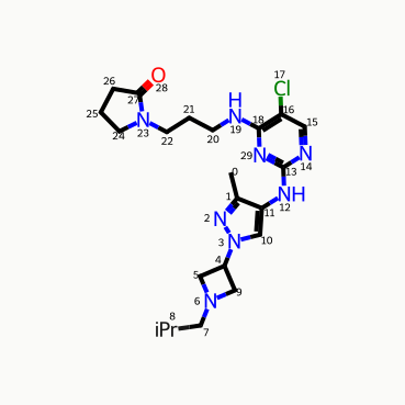 Cc1nn(C2CN(CC(C)C)C2)cc1Nc1ncc(Cl)c(NCCCN2CCCC2=O)n1